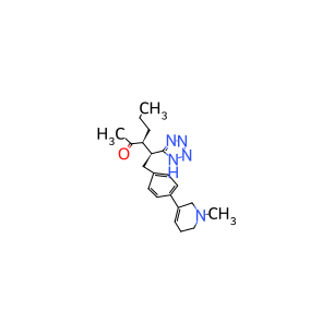 CCC[C@H](C(C)=O)[C@H](Cc1ccc(C2=CCCN(C)C2)cc1)c1nnn[nH]1